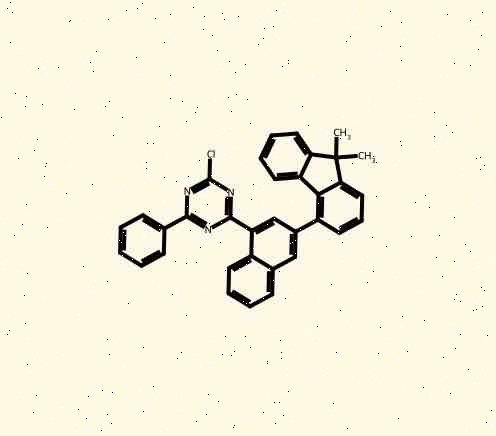 CC1(C)c2ccccc2-c2c(-c3cc(-c4nc(Cl)nc(-c5ccccc5)n4)c4ccccc4c3)cccc21